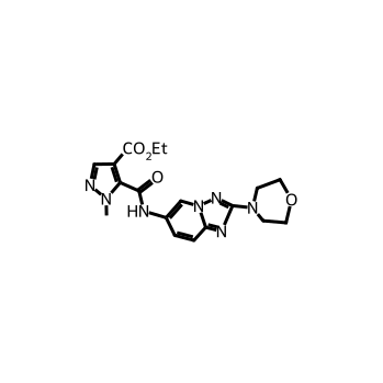 CCOC(=O)c1cnn(C)c1C(=O)Nc1ccc2nc(N3CCOCC3)nn2c1